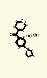 Cl.Cl.O=C(c1ccc(N2CCCC2)cc1)C1CCNCC1